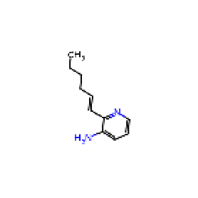 CCCC/C=C/c1ncccc1N